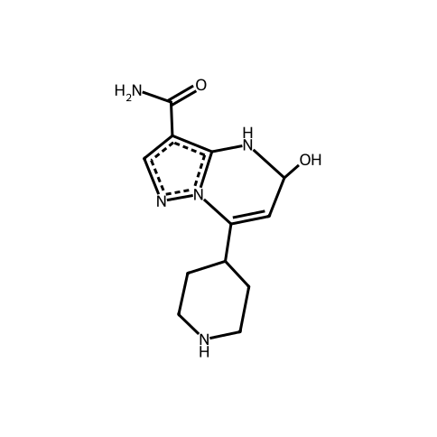 NC(=O)c1cnn2c1NC(O)C=C2C1CCNCC1